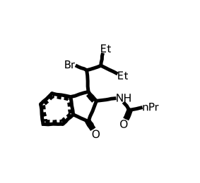 CCCC(=O)NC1=C(C(Br)C(CC)CC)c2ccccc2C1=O